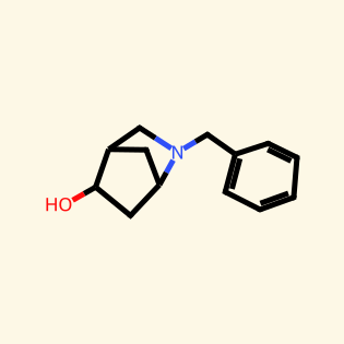 OC1CC2CC1CN2Cc1ccccc1